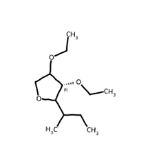 CCOC1COC(C(C)CC)[C@H]1OCC